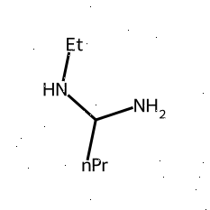 CCCC(N)NCC